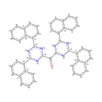 O=C(c1nc(-c2cccc3ccccc23)nc(-c2cccc3ccccc23)n1)c1nc(-c2cccc3ccccc23)nc(-c2cccc3ccccc23)n1